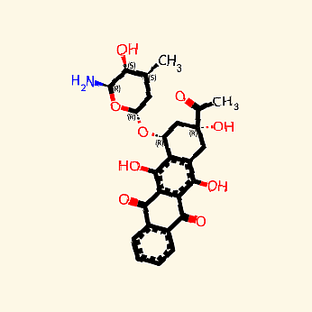 CC(=O)[C@@]1(O)Cc2c(O)c3c(c(O)c2[C@H](O[C@H]2C[C@H](C)[C@H](O)[C@H](N)O2)C1)C(=O)c1ccccc1C3=O